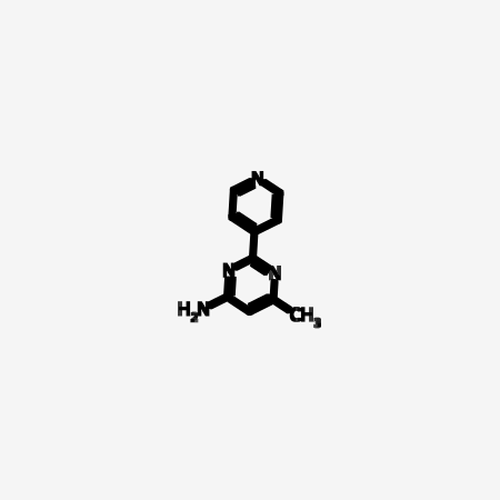 Cc1cc(N)nc(-c2ccncc2)n1